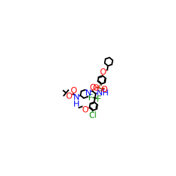 CCOc1cc(C(F)(F)C(NS(=O)(=O)c2ccc(OCC3CCCCC3)cc2)C(=O)N2CCC(NC(=O)OC(C)(C)C)CC2)ccc1Cl